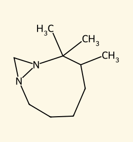 CC1CCCCN2CN2C1(C)C